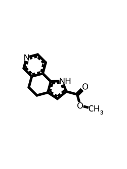 COC(=O)c1cc2c([nH]1)-c1ccncc1CC2